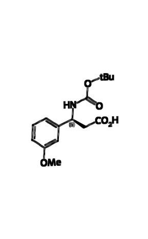 COc1cccc([C@H](CC(=O)O)NC(=O)OC(C)(C)C)c1